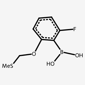 CSCOc1cccc(F)c1B(O)O